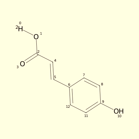 [2H]OC(=O)/C=C/c1ccc(O)cc1